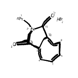 Br.CCCN1C(=O)c2ccccc2C1=O